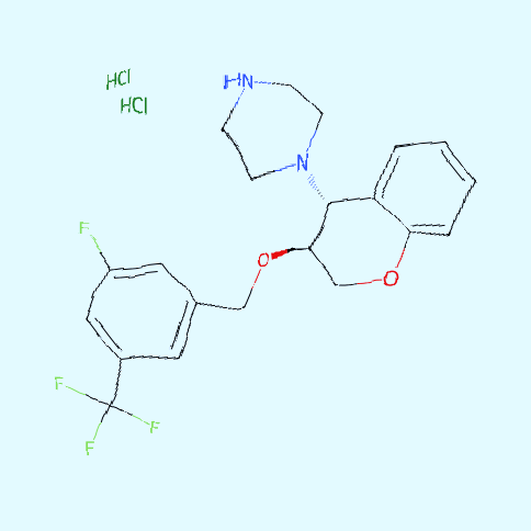 Cl.Cl.Fc1cc(CO[C@@H]2COc3ccccc3[C@H]2N2CCNCC2)cc(C(F)(F)F)c1